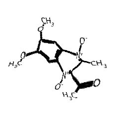 COc1cc2c(cc1OC)[n+]([O-])c(C(C)=O)c(C)[n+]2[O-]